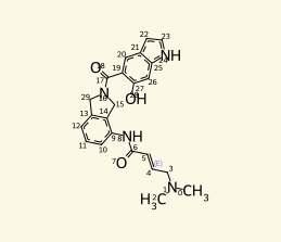 CN(C)C/C=C/C(=O)Nc1cccc2c1CN(C(=O)c1cc3cc[nH]c3cc1O)C2